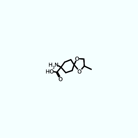 CC1COC2(CCC(N)(C(=O)O)CC2)O1